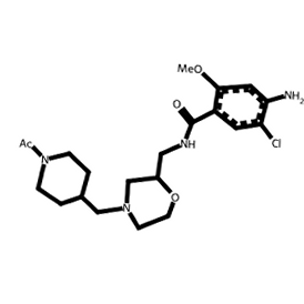 COc1cc(N)c(Cl)cc1C(=O)NCC1CN(CC2CCN(C(C)=O)CC2)CCO1